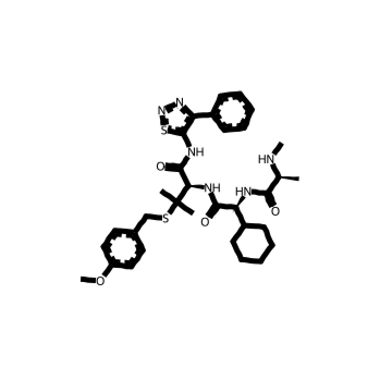 CN[C@@H](C)C(=O)N[C@H](C(=O)N[C@H](C(=O)Nc1snnc1-c1ccccc1)C(C)(C)SCc1ccc(OC)cc1)C1CCCCC1